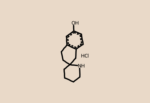 Cl.Oc1ccc2c(c1)CCC1(CCCCN1)C2